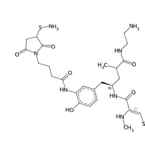 CN/C(=C\S)C(=O)N[C@@H](Cc1ccc(O)c(NC(=O)CCCN2C(=O)CC(SN)C2=O)c1)CC(C)C(=O)NCCN